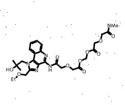 CCOCc1nc2c(NC(=O)COCC(=O)OCOC(=O)COCC(=O)NC)nc3ccccc3c2n1CC(C)(C)O